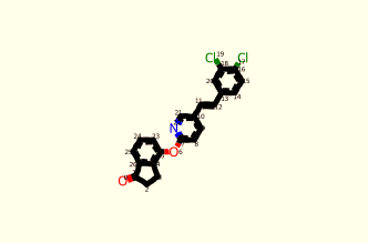 O=C1CCc2c(Oc3ccc(C=Cc4ccc(Cl)c(Cl)c4)cn3)cccc21